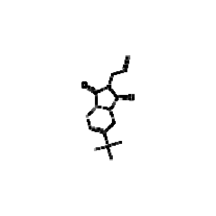 C=CCN1C(=O)C2CC=C(C(C)(C)C)CC2C1=O